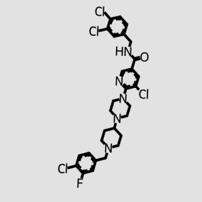 O=C(NCc1ccc(Cl)c(Cl)c1)c1cnc(N2CCN(C3CCN(Cc4ccc(Cl)c(F)c4)CC3)CC2)c(Cl)c1